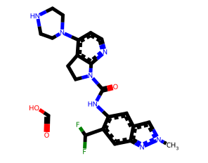 Cn1cc2cc(NC(=O)N3CCc4c(N5CCNCC5)ccnc43)c(C(F)F)cc2n1.O=CO